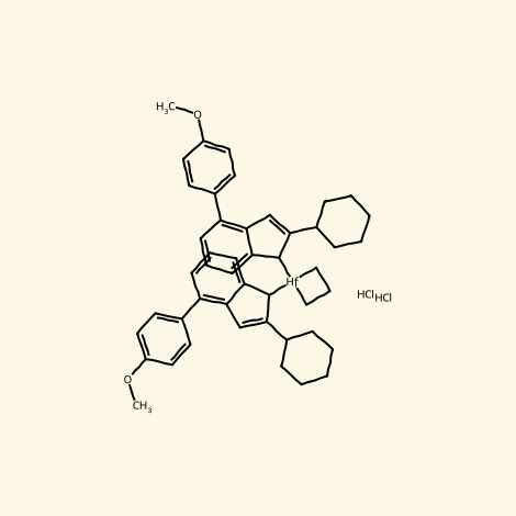 COc1ccc(-c2cccc3c2C=C(C2CCCCC2)[CH]3[Hf]2([CH]3C(C4CCCCC4)=Cc4c(-c5ccc(OC)cc5)cccc43)[CH2]C[CH2]2)cc1.Cl.Cl